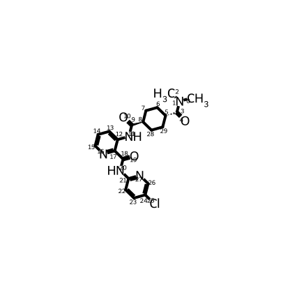 CN(C)C(=O)[C@H]1CC[C@H](C(=O)Nc2cccnc2C(=O)Nc2ccc(Cl)cn2)CC1